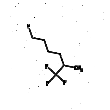 CC(CCCCF)C(F)(F)F